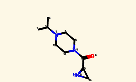 CC(C)N1CCN(C(=O)C2CN2)CC1